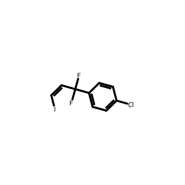 FC(F)(/C=C\I)c1ccc(Cl)cc1